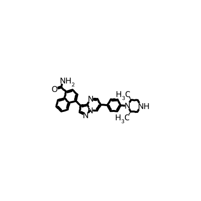 C[C@@H]1CNC[C@H](C)N1c1ccc(-c2cnc3c(-c4ccc(C(N)=O)c5ccccc45)cnn3c2)cc1